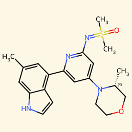 Cc1cc(-c2cc(N3CCOC[C@H]3C)cc(N=S(C)(C)=O)n2)c2cc[nH]c2c1